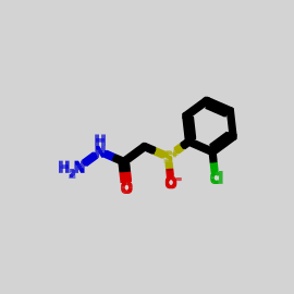 NNC(=O)C[S+]([O-])c1ccccc1Cl